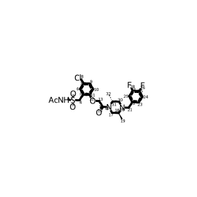 CC(=O)NS(=O)(=O)Cc1cc(Cl)ccc1OCC(=O)N1C[C@H](C)N(Cc2ccc(F)c(F)c2)C[C@H]1C